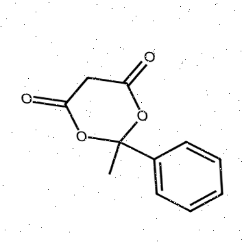 CC1(c2ccccc2)OC(=O)CC(=O)O1